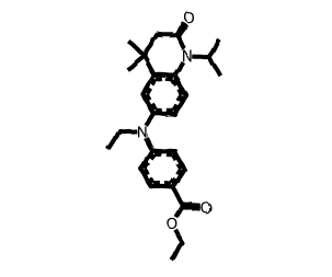 CCOC(=O)c1ccc(N(CC)c2ccc3c(c2)C(C)(C)CC(=O)N3C(C)C)cc1